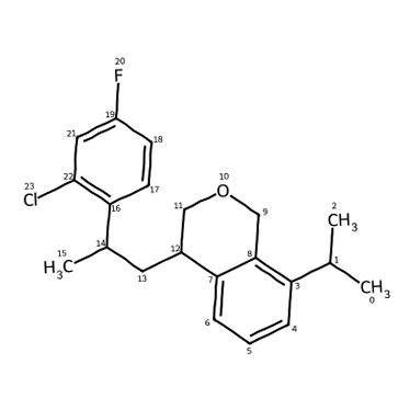 CC(C)c1cccc2c1COCC2CC(C)c1ccc(F)cc1Cl